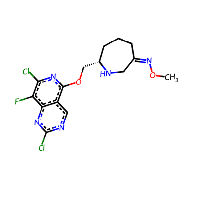 CON=C1CCC[C@@H](COc2nc(Cl)c(F)c3nc(Cl)ncc23)NC1